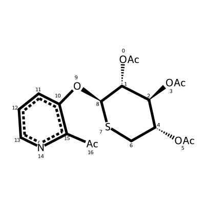 CC(=O)O[C@@H]1[C@@H](OC(C)=O)[C@H](OC(C)=O)CS[C@H]1Oc1cccnc1C(C)=O